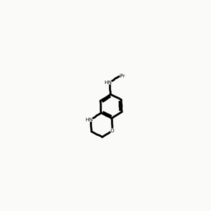 CC(C)Nc1ccc2c(c1)NCCO2